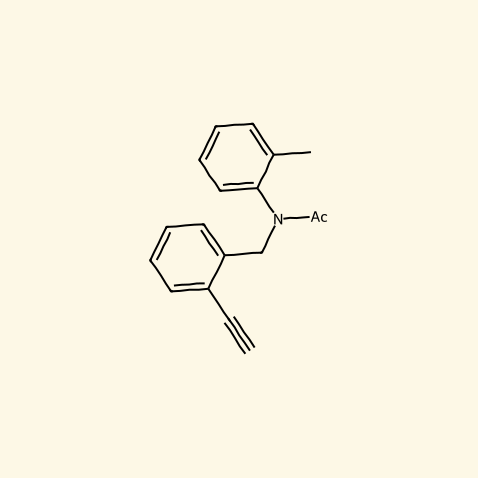 C#Cc1ccccc1CN(C(C)=O)c1ccccc1C